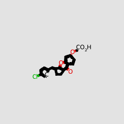 O=C(O)COc1ccc2c(=O)c3c(oc2c1)C(=Cc1ccc(Cl)cc1)CC3